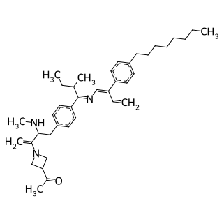 C=C/C(=C\N=C(\c1ccc(CC(NC)C(=C)N2CC(C(C)=O)C2)cc1)C(C)CC)c1ccc(CCCCCCCC)cc1